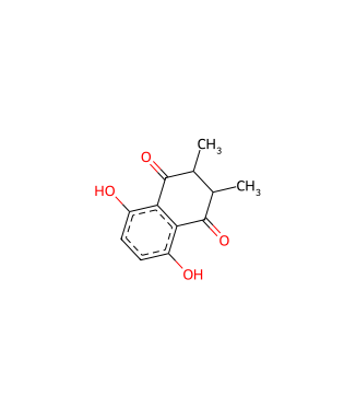 CC1C(=O)c2c(O)ccc(O)c2C(=O)C1C